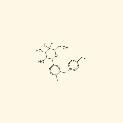 CCc1ccc(Cc2cc(C3OC(CO)C(F)(F)C(O)C3O)ccc2C)cc1